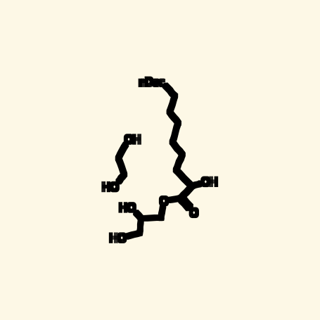 CCCCCCCCCCCCCCCCC(O)C(=O)OCC(O)CO.OCCO